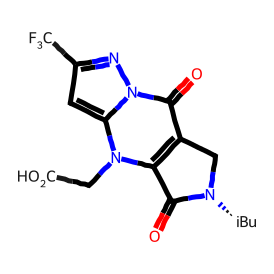 CC[C@@H](C)N1Cc2c(n(CC(=O)O)c3cc(C(F)(F)F)nn3c2=O)C1=O